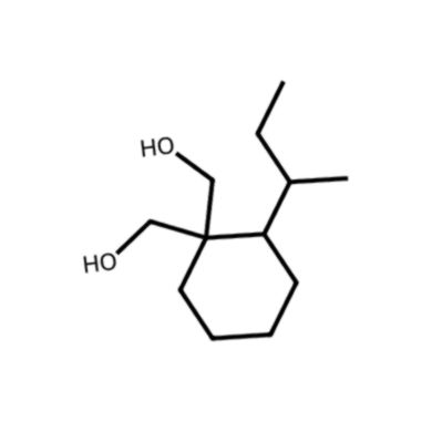 CCC(C)C1CCCCC1(CO)CO